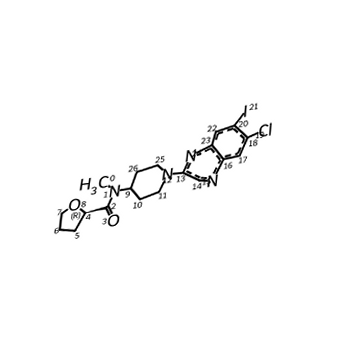 CN(C(=O)[C@H]1CCCO1)C1CCN(c2cnc3cc(Cl)c(I)cc3n2)CC1